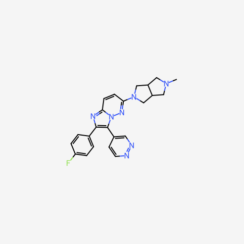 CN1CC2CN(c3ccc4nc(-c5ccc(F)cc5)c(-c5ccnnc5)n4n3)CC2C1